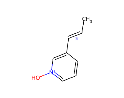 C/C=C/c1ccc[n+](O)c1